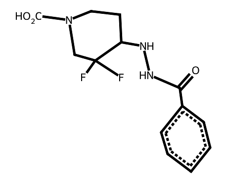 O=C(NNC1CCN(C(=O)O)CC1(F)F)c1ccccc1